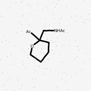 CC(=O)NCC1(C(C)=O)CCCCO1